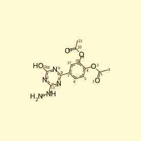 CC(=O)Oc1ccc(-c2nc(O)nc(NN)n2)cc1OC(C)=O